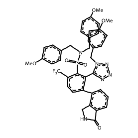 COc1ccc(CN(Cc2ccc(OC)cc2)S(=O)(=O)c2c(C(F)(F)F)ccc(-c3cccc4c3CNC4=O)c2-c2nnnn2Cc2ccc(OC)cc2)cc1